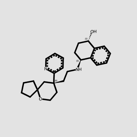 O[C@H]1CC[C@H](NCC[C@@]2(c3ccccn3)CCOC3(CCCC3)C2)c2ccccc21